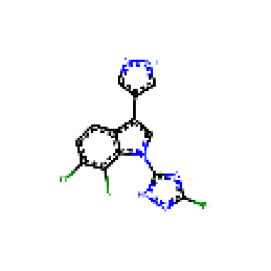 Clc1ccc2c(-c3cn[nH]c3)cn(-c3nc(Br)n[nH]3)c2c1Cl